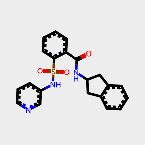 O=C(NC1Cc2ccccc2C1)c1ccccc1S(=O)(=O)Nc1cccnc1